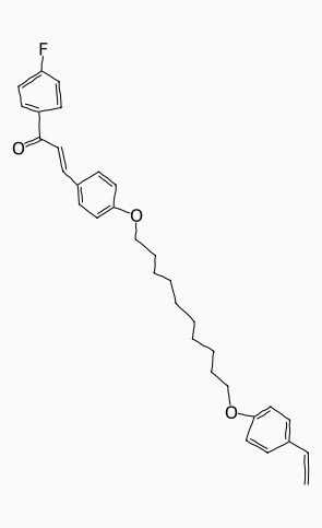 C=Cc1ccc(OCCCCCCCCCCOc2ccc(C=CC(=O)c3ccc(F)cc3)cc2)cc1